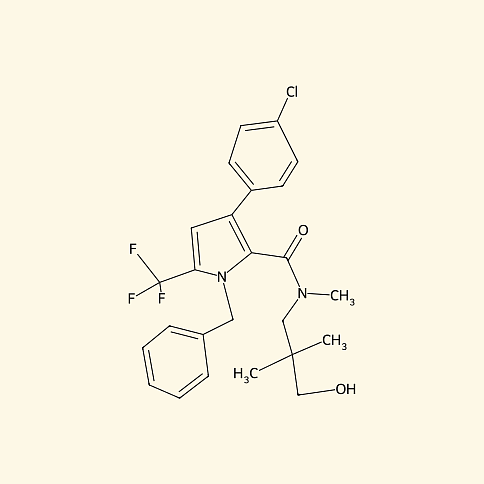 CN(CC(C)(C)CO)C(=O)c1c(-c2ccc(Cl)cc2)cc(C(F)(F)F)n1Cc1ccccc1